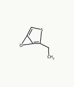 CCc1scc2c1O2